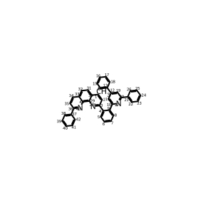 Cc1cc(-c2ccccc2-c2cc(-c3ccccc3)cc(-c3ccccc3)n2)nc2c1ccc1ccc(-c3ccccc3)nc12